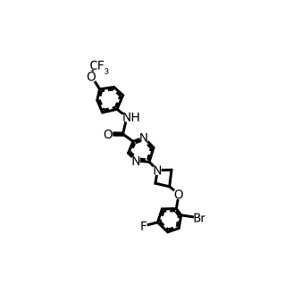 O=C(Nc1ccc(OC(F)(F)F)cc1)c1cnc(N2CC(Oc3cc(F)ccc3Br)C2)cn1